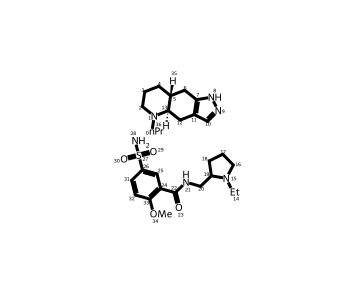 CCCN1CCC[C@@H]2Cc3[nH]ncc3C[C@H]21.CCN1CCCC1CNC(=O)c1cc(S(N)(=O)=O)ccc1OC